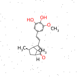 COc1cc(/C=C/C2=CC(=O)[C@H]3C[C@@H](C)C2C3C)cc(O)c1O